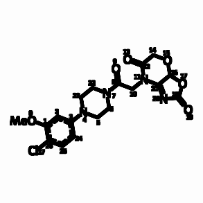 COc1cc(N2CCN(C(=O)CN3C(=O)COC4OC(=O)N=C43)CC2)ccc1Cl